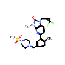 Cc1ccc(CN2CCN(S(C)(=O)=O)CC2)cc1-c1ccc2c(n1)n(C)c(=O)n2CC1CC1(F)F